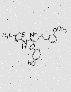 COc1cccc(CSc2cnc(Nc3nc(C)cs3)c(Oc3ccccc3)c2)c1.Cl